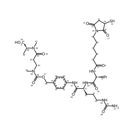 CC(C)[C@H](NC(=O)CCCCCN1C(=O)CC(S)C1=O)C(=O)N[C@@H](CCCNC(N)=O)C(=O)Nc1ccc(COC(=O)N(C)CCC(=O)N(C)[C@@H](C)C(=O)O)cc1